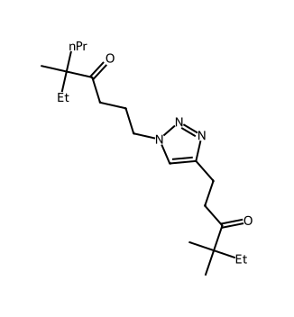 CCCC(C)(CC)C(=O)CCCn1cc(CCC(=O)C(C)(C)CC)nn1